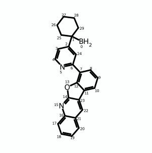 BC1(c2ccnc(-c3cccc4c3oc3nc5ccccc5cc34)c2)CCCCC1